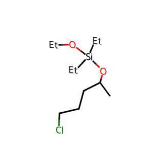 CCO[Si](CC)(CC)OC(C)CCCCl